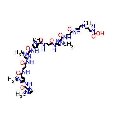 CN(CCCNC(=O)O)CCCNC(=O)CCNC(=O)c1nc(NC(=O)CCNC(=O)c2cc(NC(=O)c3nc(NC(=O)CCNC(=O)c4cc(NC(=O)c5nccn5C)cn4C)cn3C)cn2C)cn1C